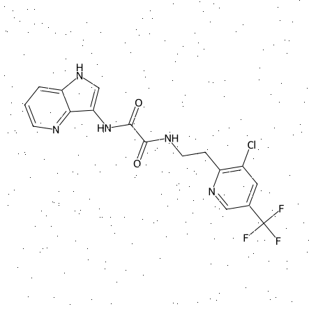 O=C(NCCc1ncc(C(F)(F)F)cc1Cl)C(=O)Nc1c[nH]c2cccnc12